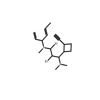 C#CC1CCC1C(C(CC)C(CC)P(C)C(C=C)C=CC)N(C)C